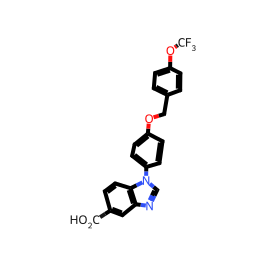 O=C(O)c1ccc2c(c1)ncn2-c1ccc(OCc2ccc(OC(F)(F)F)cc2)cc1